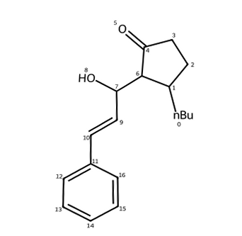 CCCCC1CCC(=O)C1C(O)/C=C/c1ccccc1